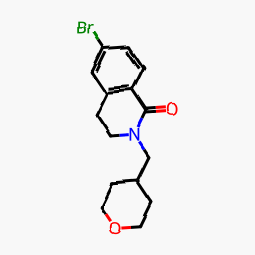 O=C1c2ccc(Br)cc2CCN1CC1CCOCC1